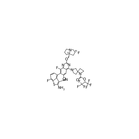 N#Cc1c(N)sc2c(F)ccc(-c3c(Cl)cc4c(N5CCC6(CCN6C(=O)OC(C(F)(F)F)C(F)(F)F)C5)nc(OC[C@@]56CCCN5C[C@H](F)C6)nc4c3F)c12